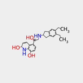 CCc1cc2c(cc1CC)CC(NC[C@H](O)c1ccc(O)c3c1C=CC(O)N3)C2